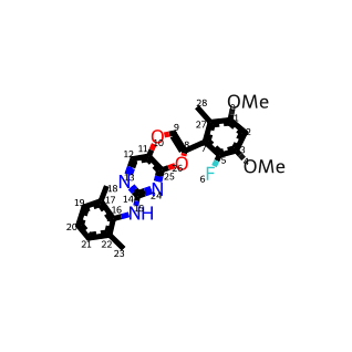 COc1cc(OC)c(F)c(C2=COc3cnc(Nc4c(C)cccc4C)nc3O2)c1C